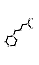 CCCN(CCC)CCCN1CCOCC1